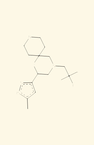 Cc1cc(C2CN(CC(F)(F)F)CC3(CCNCC3)O2)n[nH]1